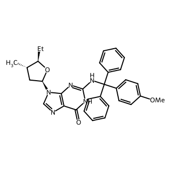 CC[C@H]1O[C@@H](n2cnc3c(=O)[nH]c(NC(c4ccccc4)(c4ccccc4)c4ccc(OC)cc4)nc32)C[C@@H]1C